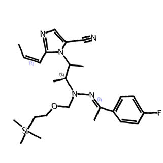 C/C=C\c1ncc(C#N)n1C(C)[C@H](C)N(COCC[Si](C)(C)C)/N=C(\C)c1ccc(F)cc1